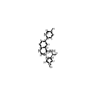 Cc1ccc(-c2ccc3ncnc(NC(C)c4cn(C)cn4)c3c2)nc1